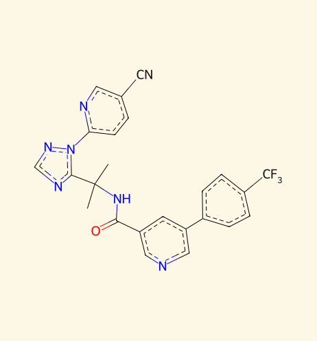 CC(C)(NC(=O)c1cncc(-c2ccc(C(F)(F)F)cc2)c1)c1ncnn1-c1ccc(C#N)cn1